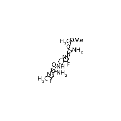 COC(C)COC1CN(c2cc(F)c3c(n2)CCC(NC(=O)c2sc4nc(C)c(F)cc4c2N)C3)CC1N